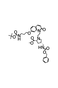 COC(=O)[C@@H]1C[C@@H](CNC(=O)OCc2ccccc2)CN1CCn1c(=O)ccc2ccc(OCCCNC(=O)OC(C)(C)C)cc21